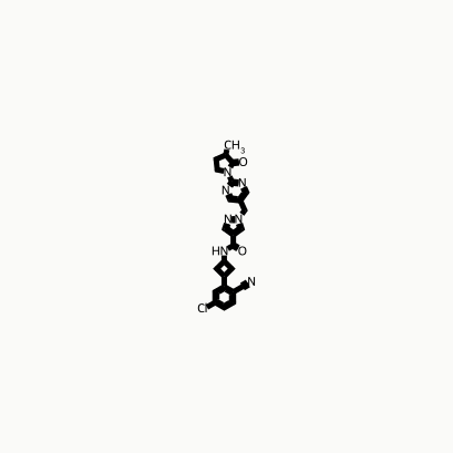 CC1CCN(c2ncc(Cn3cc(C(=O)NC4CC(c5cc(Cl)ccc5C#N)C4)cn3)cn2)C1=O